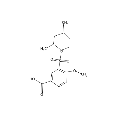 COc1ccc(C(=O)O)cc1S(=O)(=O)N1CCC(C)CC1C